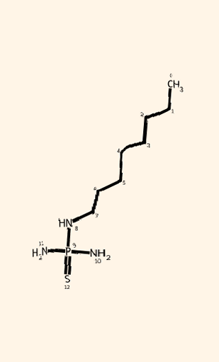 CCCCCCCCNP(N)(N)=S